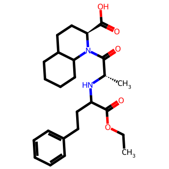 CCOC(=O)C(CCc1ccccc1)N[C@@H](C)C(=O)N1C2CCCCC2CC[C@H]1C(=O)O